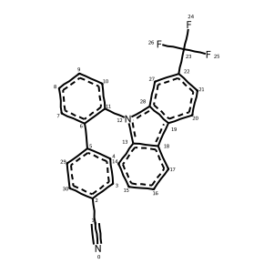 N#Cc1ccc(-c2ccccc2-n2c3ccccc3c3ccc(C(F)(F)F)cc32)cc1